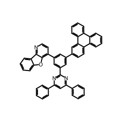 c1ccc(-c2cc(-c3ccccc3)nc(-c3cc(-c4ccc5c6ccccc6c6ccccc6c5c4)cc(-c4ccnc5c4oc4ccccc45)c3)n2)cc1